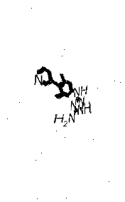 Cc1cc(Nc2n[nH]c(N)n2)cc(C)c1-c1cccnc1